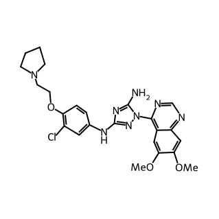 COc1cc2ncnc(-n3nc(Nc4ccc(OCCN5CCCC5)c(Cl)c4)nc3N)c2cc1OC